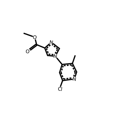 COC(=O)c1cn(-c2cc(Cl)ncc2C)cn1